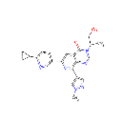 CC(CO)n1cnc2c(-c3cnn(C)c3)nc(-c3ccc(C4CC4)nc3)cc2c1=O